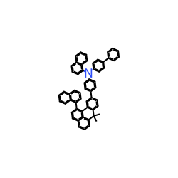 CC1(C)c2ccc(-c3ccc(N(c4ccc(-c5ccccc5)cc4)c4cccc5ccccc45)cc3)cc2-c2c(-c3cccc4ccccc34)ccc3cccc1c23